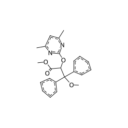 COC(=O)C(Oc1nc(C)cc(C)n1)C(OC)(c1ccccc1)c1ccccc1